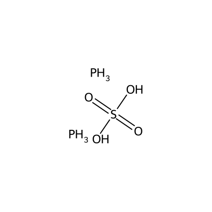 O=S(=O)(O)O.P.P